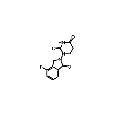 O=C1CCN(N2Cc3c(F)cccc3C2=O)C(=O)N1